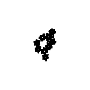 c1ccc(-c2cccc(-c3nc(-c4ccccc4)nc(-c4ccc5c(c4)oc4c(-c6cc(-c7ccccc7)cc7c6oc6ccccc67)cccc45)n3)c2)cc1